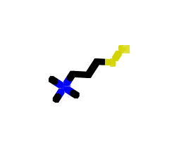 C[N+](C)(C)CCCSS